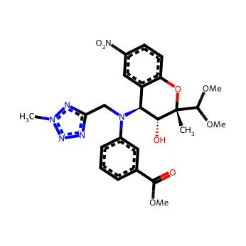 COC(=O)c1cccc(N(Cc2nnn(C)n2)[C@H]2c3cc([N+](=O)[O-])ccc3O[C@](C)(C(OC)OC)[C@@H]2O)c1